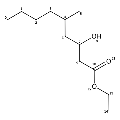 CCCCC(C)CC(O)CC(=O)OCC